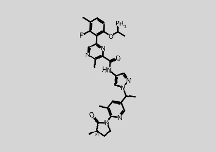 Cc1cc(C(C)n2cc(NC(=O)c3nc(-c4c(OC(C)P)ccc(C)c4F)cnc3C)cn2)cnc1N1CC[C@@H](C)C1=O